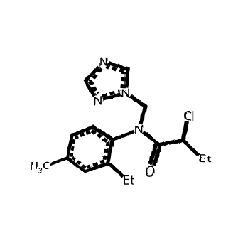 CCc1cc(C)ccc1N(Cn1cncn1)C(=O)C(Cl)CC